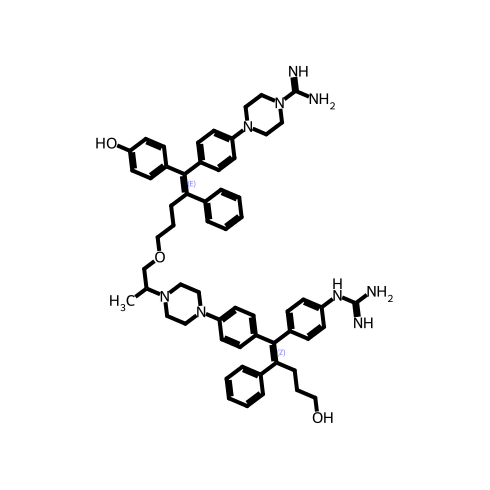 CC(COCCC/C(=C(\c1ccc(O)cc1)c1ccc(N2CCN(C(=N)N)CC2)cc1)c1ccccc1)N1CCN(c2ccc(/C(=C(/CCCO)c3ccccc3)c3ccc(NC(=N)N)cc3)cc2)CC1